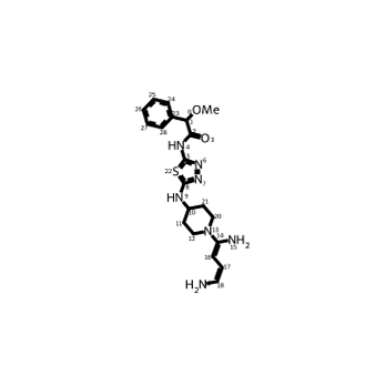 COC(C(=O)Nc1nnc(NC2CCN(/C(N)=C/C=C\N)CC2)s1)c1ccccc1